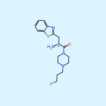 N[C@@H](Cc1nc2ccccc2s1)C(=O)N1CCN(CCCF)CC1